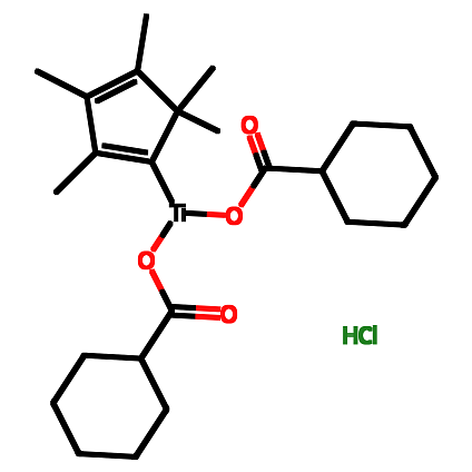 CC1=C(C)C(C)(C)[C]([Ti]([O]C(=O)C2CCCCC2)[O]C(=O)C2CCCCC2)=C1C.Cl